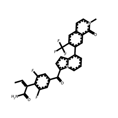 CC=C(C(N)=O)c1c(F)cc(C(=O)c2ccc3c(-c4cc5c(=O)n(C)ccc5cc4C(F)(F)F)cccn23)cc1F